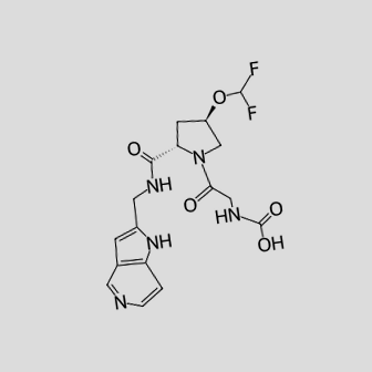 O=C(O)NCC(=O)N1C[C@H](OC(F)F)C[C@H]1C(=O)NCc1cc2cnccc2[nH]1